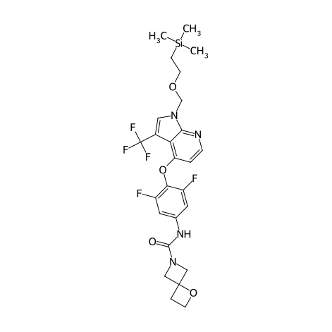 C[Si](C)(C)CCOCn1cc(C(F)(F)F)c2c(Oc3c(F)cc(NC(=O)N4CC5(CCO5)C4)cc3F)ccnc21